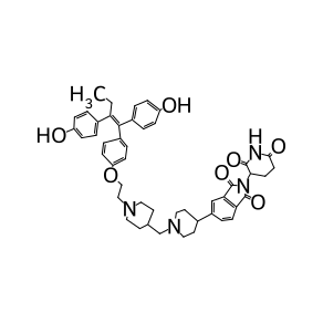 CCC(=C(c1ccc(O)cc1)c1ccc(OCCN2CCC(CN3CCC(c4ccc5c(c4)C(=O)N(C4CCC(=O)NC4=O)C5=O)CC3)CC2)cc1)c1ccc(O)cc1